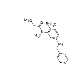 CCOC(=O)c1ccc(NCc2ccccc2)cc1N(C)C(=O)COC